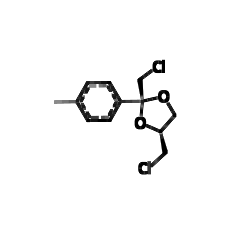 Cc1ccc([C@]2(CCl)OC[C@@H](CCl)O2)cc1